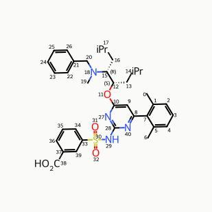 Cc1cccc(C)c1-c1cc(O[C@@H](CC(C)C)[C@@H](CC(C)C)N(C)Cc2ccccc2)nc(NS(=O)(=O)c2cccc(C(=O)O)c2)n1